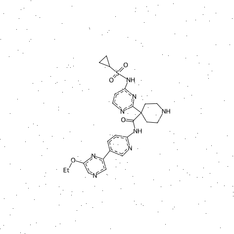 CCOc1cncc(-c2ccc(NC(=O)C3(c4nccc(NS(=O)(=O)C5CC5)n4)CCNCC3)nc2)n1